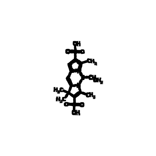 CB1N2C(=Cc3cc(S(=O)(=O)O)c(C)n31)C(C)(C)C(S(=O)(=O)O)=C2C.O